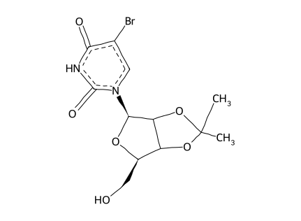 CC1(C)OC2C(O1)[C@@H](CO)O[C@H]2n1cc(Br)c(=O)[nH]c1=O